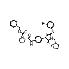 O=C(Nc1ccc(C2S/C(=N\c3cccc(F)c3)N(CC3CCCO3)C2=O)cc1)[C@@H]1CCCN1C(=O)OCc1ccccc1